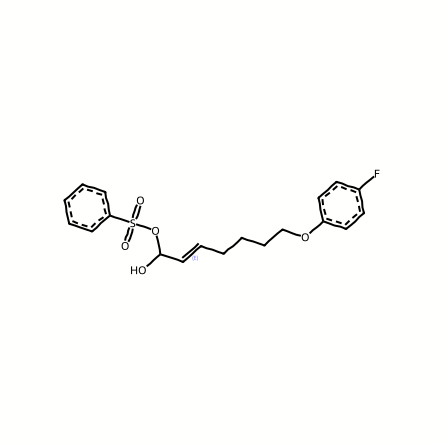 O=S(=O)(OC(O)/C=C/CCCCOc1ccc(F)cc1)c1ccccc1